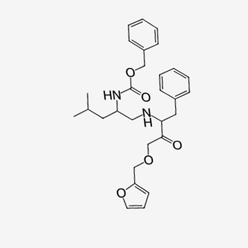 CC(C)CC(CNC(Cc1ccccc1)C(=O)COCc1ccco1)NC(=O)OCc1ccccc1